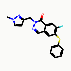 Cn1ccc(Cn2ncc3cc(Sc4ccccc4)c(F)cc3c2=O)n1